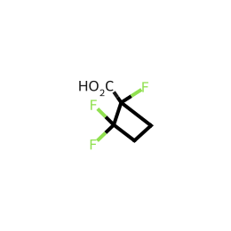 O=C(O)C1(F)CCC1(F)F